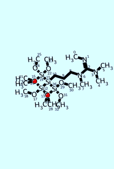 CN=C(N(C)C)N(C)CCC[Si]([Si](OC)(OC)OC)([Si](OC)(OC)OC)[Si](OC)(OC)OC